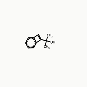 CC(C)(O)C1=Cc2ccccc21